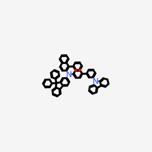 C1=CCC(C2(c3ccccc3)c3ccccc3-c3ccc(N(c4ccc(-c5cccc(-n6c7c(c8ccccc86)=CCCC=7)c5)cc4)c4ccc5ccccc5c4-c4ccccc4)cc32)C=C1